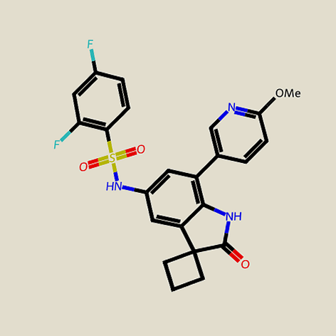 COc1ccc(-c2cc(NS(=O)(=O)c3ccc(F)cc3F)cc3c2NC(=O)C32CCC2)cn1